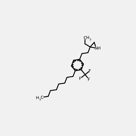 CCCCCCCCc1ccc(CCC2(CC)CN2)cc1C(F)(F)F